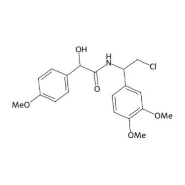 COc1ccc(C(O)C(=O)NC(CCl)c2ccc(OC)c(OC)c2)cc1